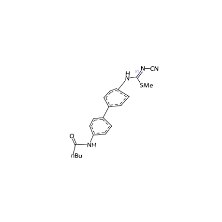 CCCCC(=O)Nc1ccc(-c2ccc(N/C(=N/C#N)SC)cc2)cc1